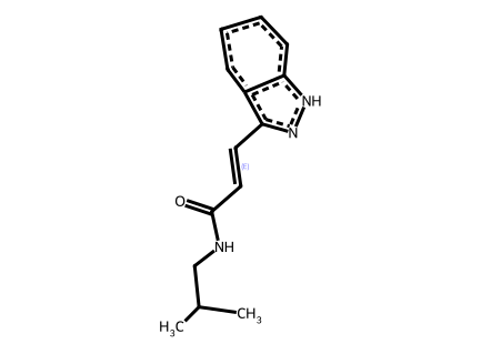 CC(C)CNC(=O)/C=C/c1n[nH]c2ccccc12